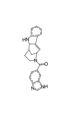 O=C(c1ccc2nc[nH]c2c1)N1CCC2CC1C=C1c3ccccc3NC12